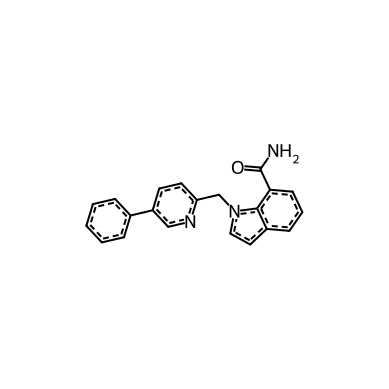 NC(=O)c1cccc2ccn(Cc3ccc(-c4ccccc4)cn3)c12